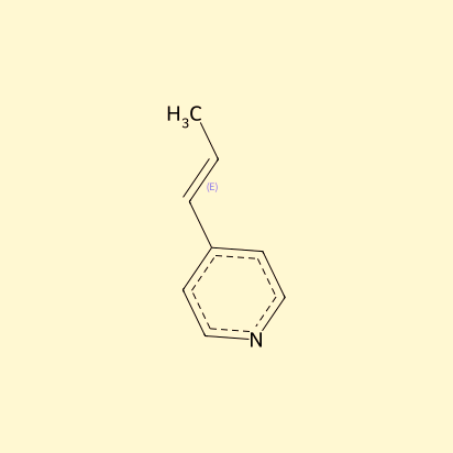 C/C=C/c1ccncc1